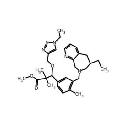 CCC1Cc2cccnc2CN(Cc2cc(C(OCc3cn(CC)nn3)C(C)(C)C(=O)OC)ccc2C)C1